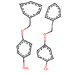 Oc1ccc(OCc2ccccc2)cc1.Oc1ccc(OCc2ccccc2)cc1